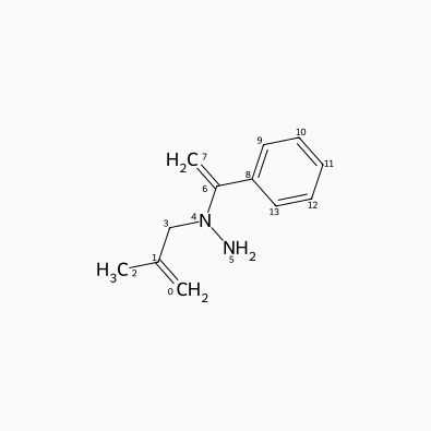 C=C(C)CN(N)C(=C)c1ccccc1